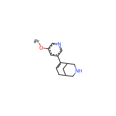 CC(C)Oc1cncc(C2=CCC3CNCC2C3)c1